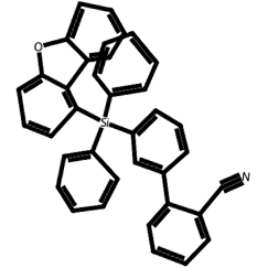 N#Cc1ccccc1-c1cccc([Si](c2ccccc2)(c2ccccc2)c2cccc3oc4ccccc4c23)c1